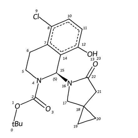 CC(C)(C)OC(=O)N1CCc2c(Cl)ccc(O)c2[C@H]1N1CC2(CC2)CC1=O